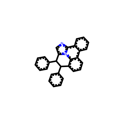 c1ccc(C2c3cccc4c5ccccc5c5ncc(n5c34)C2c2ccccc2)cc1